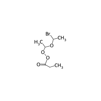 CCC(=O)OOC(C)OC(C)Br